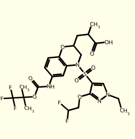 CCn1cc(S(=O)(=O)N2CC(CC(C)C(=O)O)Oc3ccc(NC(=O)OC(C)(C)C(F)(F)F)cc32)c(OCC(F)F)n1